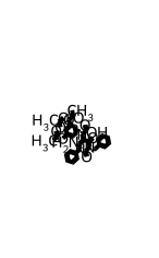 CC(=O)Oc1cc(N(C(=O)O)c2c(N)n(-c3ccccc3)c(=O)n(Cc3ccccc3)c2=O)cc(OC(C)=O)c1OC(C)=O